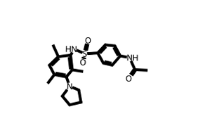 CC(=O)Nc1ccc(S(=O)(=O)Nc2c(C)cc(C)c(N3CCCC3)c2C)cc1